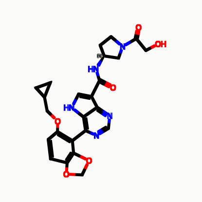 O=C(N[C@H]1CCN(C(=O)CO)C1)c1c[nH]c2c(-c3c(OCC4CC4)ccc4c3OCO4)ncnc12